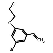 C=Cc1cc(Br)cc(OCCCl)c1